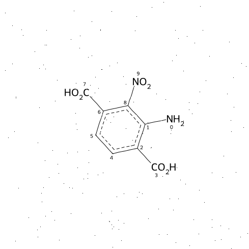 Nc1c(C(=O)O)ccc(C(=O)O)c1[N+](=O)[O-]